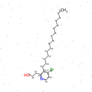 CCCCCCCCCCCCCCCCc1c(Br)ccnc1CCO